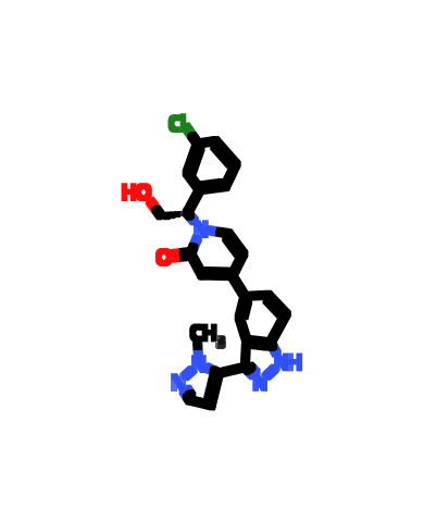 Cn1nccc1-c1n[nH]c2ccc(-c3ccn([C@H](CO)c4cccc(Cl)c4)c(=O)c3)cc12